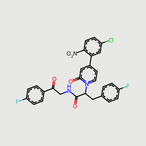 O=C(CNC(=O)C(Cc1ccc(F)cc1)n1ccc(-c2cc(Cl)ccc2[N+](=O)[O-])cc1=O)c1ccc(F)cc1